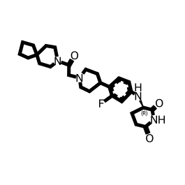 O=C1CC[C@@H](Nc2ccc(C3CCN(CC(=O)N4CCC5(CCCC5)CC4)CC3)c(F)c2)C(=O)N1